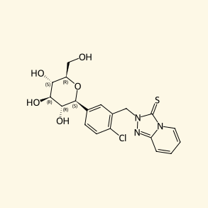 OC[C@H]1O[C@@H](c2ccc(Cl)c(Cn3nc4ccccn4c3=S)c2)[C@H](O)[C@@H](O)[C@@H]1O